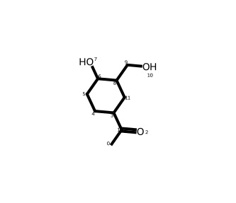 CC(=O)C1CCC(O)C(CO)C1